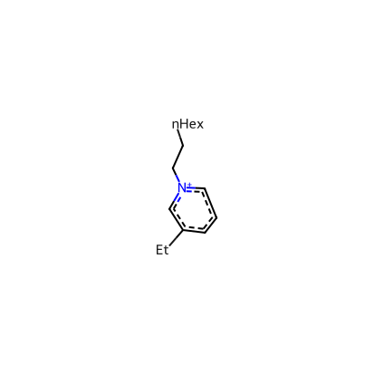 CCCCCCCC[n+]1cccc(CC)c1